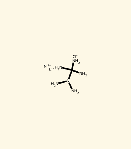 NN(N)C(N)(N)N.[Cl-].[Cl-].[Ni+2]